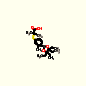 CCC1(CC)OB(c2ccc(SC(C)(C)C(=O)O)cc2C)OC1(CC)CC